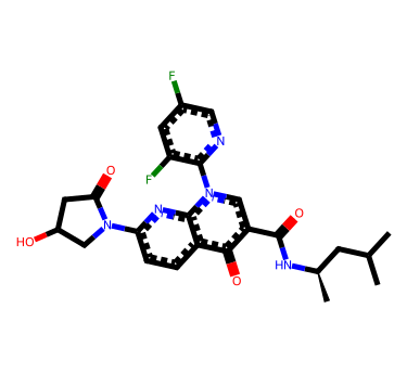 CC(C)C[C@@H](C)NC(=O)c1cn(-c2ncc(F)cc2F)c2nc(N3CC(O)CC3=O)ccc2c1=O